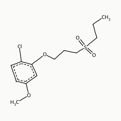 CCCS(=O)(=O)CCCOc1cc(OC)[c]cc1Cl